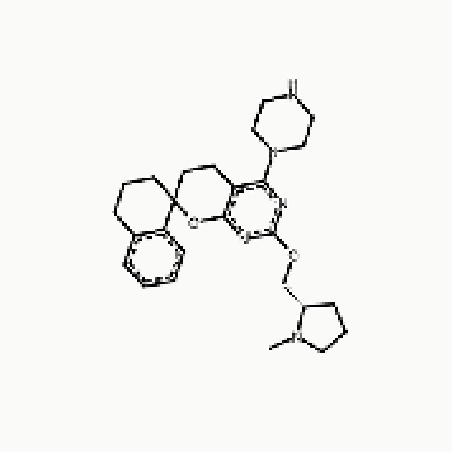 CN1CCC[C@H]1COc1nc2c(c(N3CCNCC3)n1)CCC1(CCCc3ccccc31)O2